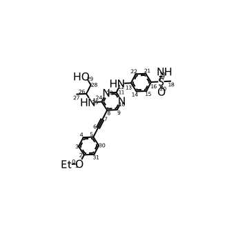 CCOc1ccc(C#Cc2cnc(Nc3ccc(S(C)(=N)=O)cc3)nc2NC(C)CO)cc1